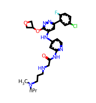 CCCN(C)CCCNCC(=O)Nc1cc(Nc2cc(-c3cc(Cl)ccc3F)nnc2OC2COC2)ccn1